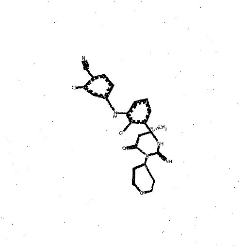 C[C@@]1(c2cccc(Nc3ccc(C#N)c(Cl)c3)c2Cl)CC(=O)N(C2CCOCC2)C(=N)N1